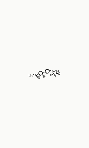 Cn1c(=O)[nH]n(Cc2ccc(-c3ccc4c(nnn4CC(C)(C)C)c3Br)cc2)c1=O